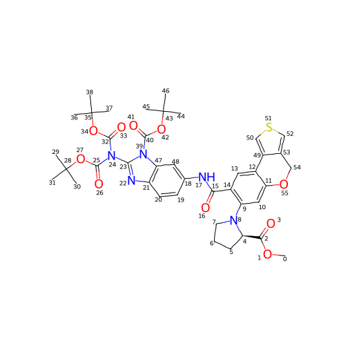 COC(=O)[C@H]1CCCN1c1cc2c(cc1C(=O)Nc1ccc3nc(N(C(=O)OC(C)(C)C)C(=O)OC(C)(C)C)n(C(=O)OC(C)(C)C)c3c1)-c1cscc1CO2